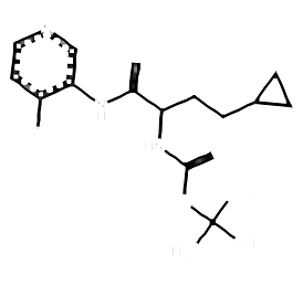 Cc1ccncc1NC(=O)C(CCC1CC1)NC(=O)OC(C)(C)C